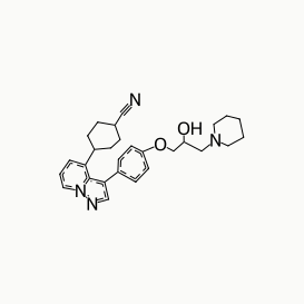 N#CC1CCC(c2cccn3ncc(-c4ccc(OCC(O)CN5CCCCC5)cc4)c23)CC1